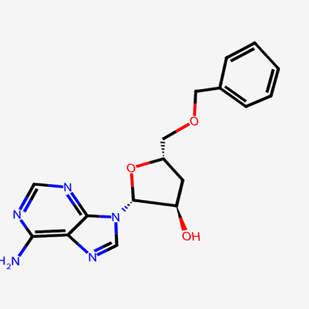 Nc1ncnc2c1ncn2[C@@H]1O[C@H](COCc2ccccc2)C[C@H]1O